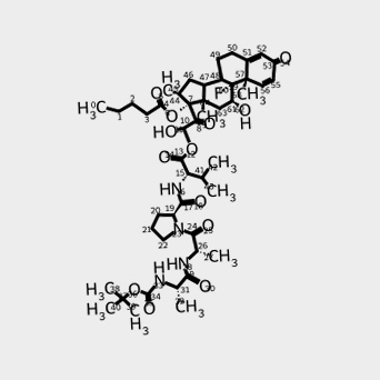 CCCCC(=O)O[C@]1(C(=O)C(O)OC(=O)[C@@H](NC(=O)[C@@H]2CCCN2C(=O)[C@H](C)NC(=O)[C@H](C)NC(=O)OC(C)(C)C)C(C)C)[C@@H](C)CC2C3CCC4=CC(=O)C=C[C@]4(C)[C@@]3(F)[C@@H](O)C[C@@]21C